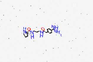 N=C(N)c1ccc(CC(=O)NCCCNC(=O)[C@@H]2CCCN2)cc1